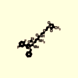 CCC(=O)N(CC[C@H](N)C(=O)NCCOCCN1C(=O)CC(C)C1=O)[C@@H](c1cc(-c2cc(F)ccc2F)cn1Cc1ccccc1)C(C)(C)C